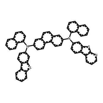 c1ccc2c(N(c3ccc4c(ccc5cc(N(c6ccc7c(c6)sc6ncccc67)c6cccc7ccccc67)ccc54)c3)c3ccc4c(c3)sc3ccccc34)cccc2c1